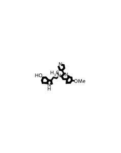 COc1ccc2cc(N(C)CCc3c[nH]c4ccc(O)cc34)c(-c3ccncc3)nc2c1